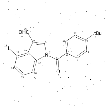 CC(C)(C)c1ccc(C(=O)n2cc(C=O)c3c(I)cccc32)cc1